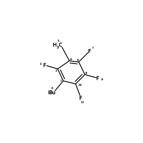 CCC(C)c1c(F)c(C)c(F)c(F)c1F